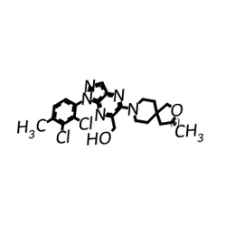 Cc1ccc(-n2ncc3nc(N4CCC5(CC4)CO[C@@H](C)C5)c(CO)nc32)c(Cl)c1Cl